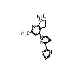 Cc1cc(-n2ccc(-c3nccs3)n2)c2c(n1)N(N)CC2